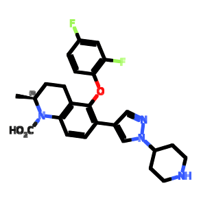 C[C@H]1CCc2c(ccc(-c3cnn(C4CCNCC4)c3)c2Oc2ccc(F)cc2F)N1C(=O)O